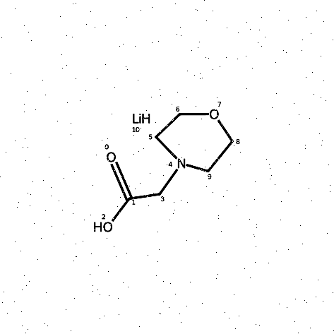 O=C(O)CN1CCOCC1.[LiH]